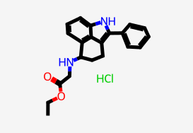 CCOC(=O)CNC1CCc2c(-c3ccccc3)[nH]c3cccc1c23.Cl